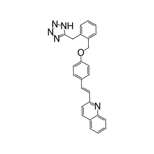 C(=C\c1ccc2ccccc2n1)/c1ccc(OCc2ccccc2Cc2nnn[nH]2)cc1